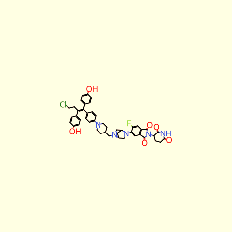 O=C1CCC(N2C(=O)c3cc(F)c(N4CC5CC4CN5CC4CCN(c5ccc(C(=C(CCCl)c6ccc(O)cc6)c6ccc(O)cc6)cc5)CC4)cc3C2=O)C(=O)N1